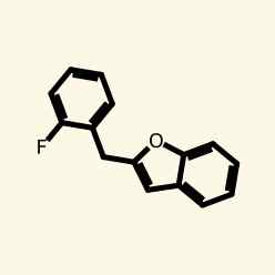 Fc1ccccc1Cc1cc2ccccc2o1